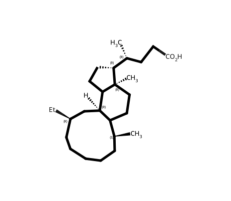 CC[C@@H]1CCCCC[C@H](C)C2CC[C@@]3(C)C(CC[C@@H]3[C@H](C)CCC(=O)O)[C@@H]2C1